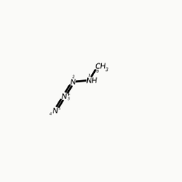 CNN=[N+]=[N-]